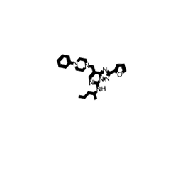 CCCC(C)Nc1ncc(CN2CCN(c3ccccc3)CC2)c2nc(-c3ccco3)nn12